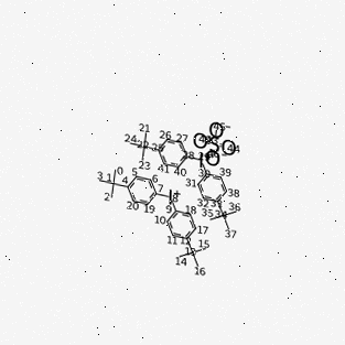 CC(C)(C)c1ccc([I+]c2ccc(C(C)(C)C)cc2)cc1.CC(C)(C)c1ccc([I+]c2ccc(C(C)(C)C)cc2)cc1.O=S(=O)([O-])[O-]